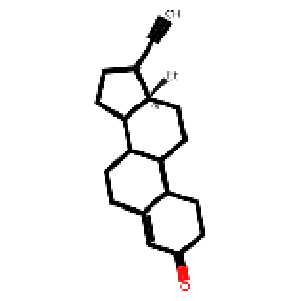 C#C[C]1CCC2C3CCC4=CC(=O)CCC4C3CC[C@@]12CC